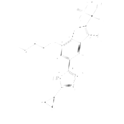 O=P(O)(O)C(F)(F)c1sc2c(OCCCC(F)(F)F)cc(-c3nnc(C4CC4)[nH]3)cc2c1Br